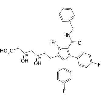 CC(C)n1c(CC[C@@H](O)C[C@@H](O)CC(=O)O)c(-c2ccc(F)cc2)c(-c2ccc(F)cc2)c1C(=O)NCc1ccccc1